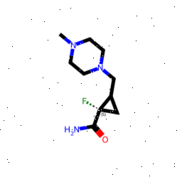 CN1CCN(CC2C[C@@]2(F)C(N)=O)CC1